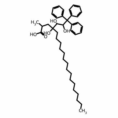 CCCCCCCCCCCCCCCCC(O)(CC(C)C(=O)O)C(O)C(O)C(c1ccccc1)(c1ccccc1)c1ccccc1